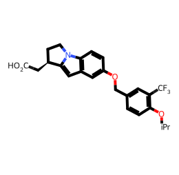 CC(C)Oc1ccc(COc2ccc3c(c2)cc2n3CC[C@@H]2CC(=O)O)cc1C(F)(F)F